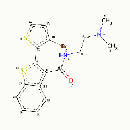 CN(C)CCNC(=O)c1c(-c2sccc2Br)sc2ccccc12